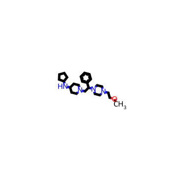 COCCN1CCN(C(CN2CCC(NC3CCCC3)CC2)c2ccccc2)CC1